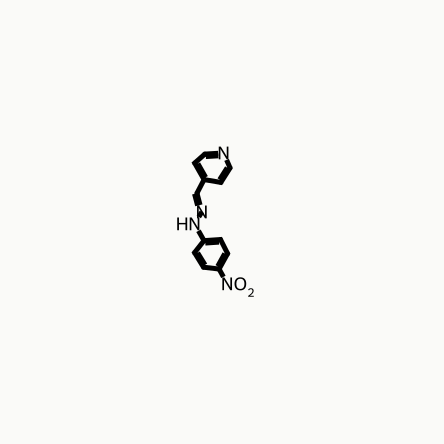 O=[N+]([O-])c1ccc(N/N=C/c2ccncc2)cc1